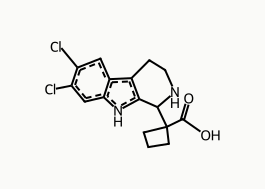 O=C(O)C1(C2NCCc3c2[nH]c2cc(Cl)c(Cl)cc32)CCC1